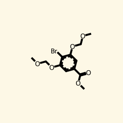 COCOc1cc(C(=O)OC)cc(OCOC)c1Br